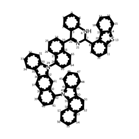 c1ccc2c(c1)NC(c1cccc3sc4ccccc4c13)N=C2c1cccc2c(-n3c4ccccc4c4cc5cccc(-n6c7ccccc7c7ccc8ccccc8c76)c5cc43)cccc12